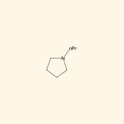 CC[CH]N1CCCC1